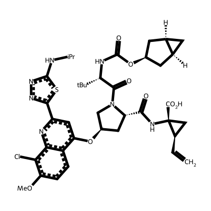 C=C[C@@H]1C[C@]1(NC(=O)[C@@H]1C[C@@H](Oc2cc(-c3nnc(NC(C)C)s3)nc3c(Cl)c(OC)ccc23)CN1C(=O)[C@@H](NC(=O)O[C@@H]1C[C@@H]2C[C@@H]2C1)C(C)(C)C)C(=O)O